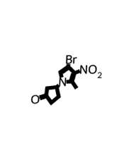 Cc1c([N+](=O)[O-])c(Br)cn1C1CCC(=O)C1